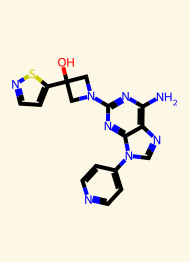 Nc1nc(N2CC(O)(c3ccns3)C2)nc2c1ncn2-c1ccncc1